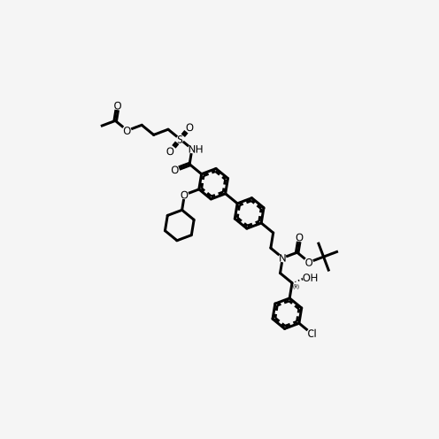 CC(=O)OCCCS(=O)(=O)NC(=O)c1ccc(-c2ccc(CCN(C[C@H](O)c3cccc(Cl)c3)C(=O)OC(C)(C)C)cc2)cc1OC1CCCCC1